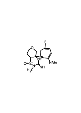 CNC1=CC=C(F)CC(C23COCCC2[S+]([O-])N(C)C(=N)N3)=C1